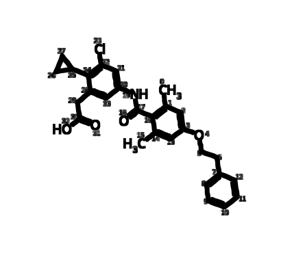 Cc1cc(OCCc2ccccc2)cc(C)c1C(=O)Nc1cc(Cl)c(C2CC2)c(CC(=O)O)c1